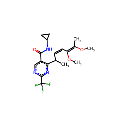 CO/C(C)=C(/C=C\C(C)c1nc(C(F)(F)F)ncc1C(=O)NC1CC1)OC